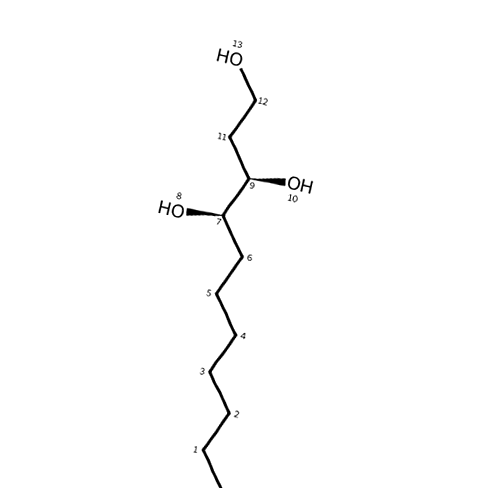 CCCCCCC[C@@H](O)[C@H](O)CCO